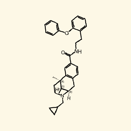 C[C@@H]1[C@H]2Cc3ccc(C(=O)NCCc4ccccc4Oc4ccccc4)cc3[C@]1(C)CCN2CC1CC1